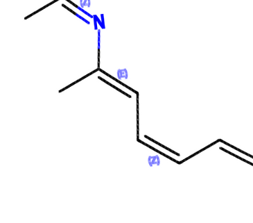 C=C\C=C/C=C(C)/N=C\C